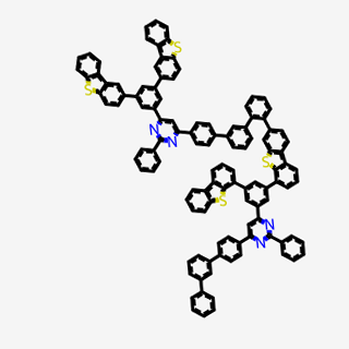 c1ccc(-c2cccc(-c3ccc(-c4cc(-c5cc(-c6cccc7c6sc6ccccc67)cc(-c6cccc7c6sc6cc(-c8ccccc8-c8cccc(-c9ccc(-c%10cc(-c%11cc(-c%12ccc%13sc%14ccccc%14c%13c%12)cc(-c%12ccc%13sc%14ccccc%14c%13c%12)c%11)nc(-c%11ccccc%11)n%10)cc9)c8)ccc67)c5)nc(-c5ccccc5)n4)cc3)c2)cc1